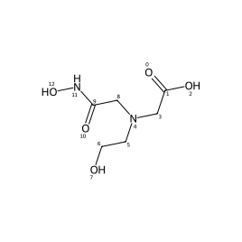 O=C(O)CN(CCO)CC(=O)NO